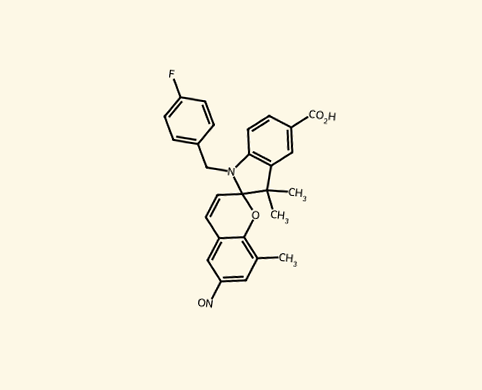 Cc1cc(N=O)cc2c1OC1(C=C2)N(Cc2ccc(F)cc2)c2ccc(C(=O)O)cc2C1(C)C